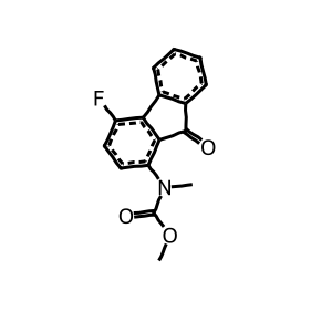 COC(=O)N(C)c1ccc(F)c2c1C(=O)c1ccccc1-2